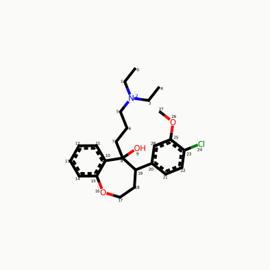 CCN(CC)CCCC1(O)c2ccccc2OCCC1c1ccc(Cl)c(OC)c1